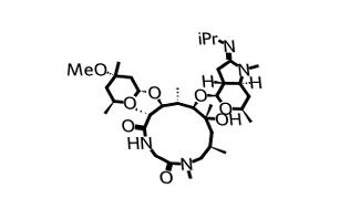 CO[C@]1(C)C[C@H](O[C@H]2[C@H](C)[C@@H](O[C@@H]3O[C@H](C)C[C@H]4[C@H]3C/C(=N\C(C)C)N4C)[C@](C)(O)C[C@@H](C)CN(C)C(=O)CNC(=O)[C@@H]2C)O[C@@H](C)C1